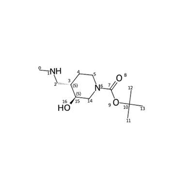 CNC[C@@H]1CCN(C(=O)OC(C)(C)C)C[C@H]1O